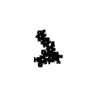 CC1CN(c2ccc(-c3cc(NC(=O)c4c[nH]c(=O)cc4C(F)F)c(N4C[C@@H](C)N(C)[C@@H](C)C4)cc3F)cn2)CCO1